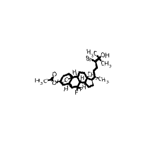 CC(=O)O[C@H]1CC[C@@]2(C)[C@H](C1)CC(F)(F)[C@@H]1[C@@H]2CC[C@]2(C)[C@@H]([C@H](C)CCC(Br)C(C)(C)O)CC[C@@H]12